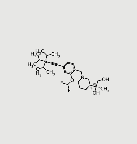 CC(C)[Si](C#Cc1ccc(CN2CCC[C@H]([C@](C)(O)CO)C2)c(OC(F)F)c1)(C(C)C)C(C)C